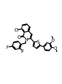 COc1ccc(-c2ccc(-c3cc4cccc(Cl)c4c(=O)n3Cc3ccc(F)cc3F)s2)cc1OC